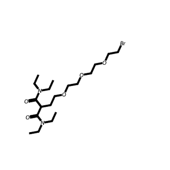 CCN(CC)C(=O)C(CCOCCOCCOCCBr)C(=O)N(CC)CC